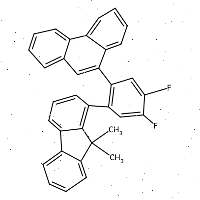 CC1(C)c2ccccc2-c2cccc(-c3cc(F)c(F)cc3-c3cc4ccccc4c4ccccc34)c21